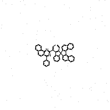 C=CC1=C(/C(=C\C)c2nc(-c3ccccc3)c3ccc4ccccc4c3n2)c2ccccc2C12c1ccc3ccccc3c1-c1c2ccc2ccccc12